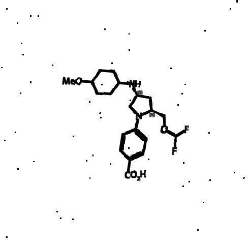 COC1CCC(N[C@H]2C[C@@H](COC(F)F)N(c3ccc(C(=O)O)cc3)C2)CC1